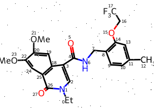 CCn1cc(C(=O)NCc2ccc(C)cc2OCC(F)(F)F)c2cc(OC)c(OC)cc2c1=O